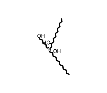 CCCCCCCCCCC(O)CN(CCCCCO)CC(O)CCCCCCCCCC